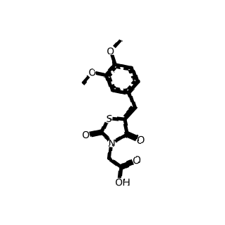 COc1ccc(/C=C2\SC(=O)N(CC(=O)O)C2=O)cc1OC